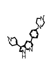 CN1CC=C(c2c[nH]c3ncc(-c4ccc(N5CCN(C)CC5)cc4)cc23)CC1